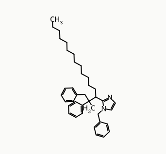 CCCCCCCCCCCCCC(c1nccn1Cc1ccccc1)C(C)(Cc1ccccc1)c1ccccc1